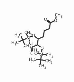 COC(=O)CCCC(O[Si](C)(C)C(C)(C)C)C(C=O)O[Si](C)(C)C(C)(C)C